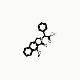 COc1c2c(cc3ccccc13)CN(C(C(=O)O)c1ccccc1)C2=O